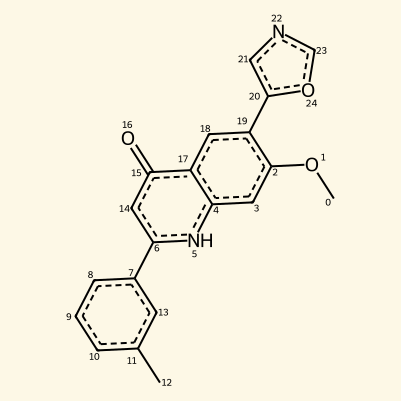 COc1cc2[nH]c(-c3cccc(C)c3)cc(=O)c2cc1-c1cnco1